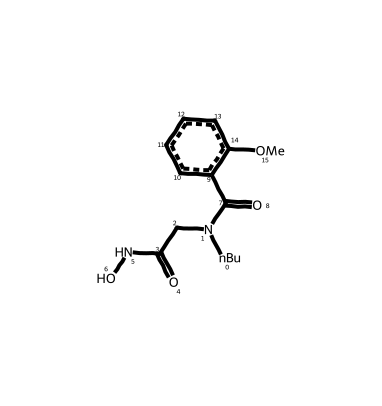 CCCCN(CC(=O)NO)C(=O)c1ccccc1OC